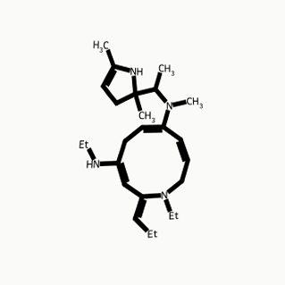 CC/C=C1/C=C(/NCC)C/C=C(N(C)C(C)C2(C)CC=C(C)N2)\C=C/CN1CC